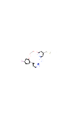 CSCc1cc2nc(c1)OCCOc1cc(I)ccc1-c1cc(ncc1F)N2